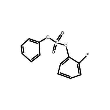 O=S(=O)(Oc1ccccc1)Oc1ccccc1F